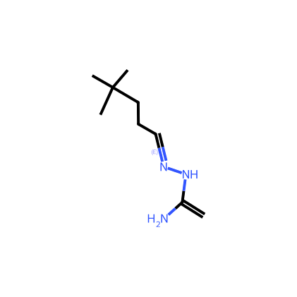 C=C(N)N/N=C/CCC(C)(C)C